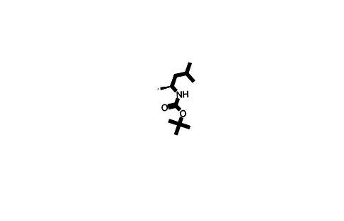 [CH2][C@@H](CC(C)C)NC(=O)OC(C)(C)C